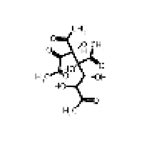 CC(=O)C(=O)[C@@](O)(C(C)=O)[C@@](O)(C(C)=O)[C@H](O)C(O)C(C)=O